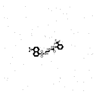 CN(C)c1cccc2c(S(=O)(=O)NCCNC(=O)Nc3ccccc3C(F)(F)F)cccc12